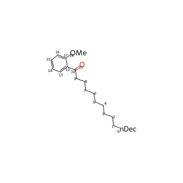 CCCCCCCCCCCCCCCCCCCC(=O)c1ccccc1OC